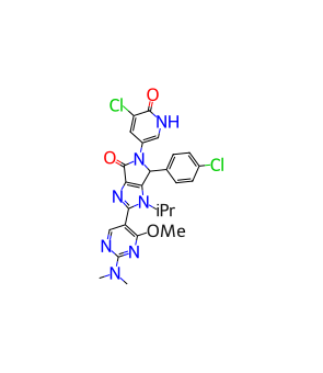 COc1nc(N(C)C)ncc1-c1nc2c(n1C(C)C)C(c1ccc(Cl)cc1)N(c1c[nH]c(=O)c(Cl)c1)C2=O